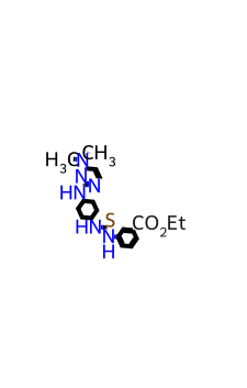 CCOC(=O)c1cccc(NC(=S)N[C@H]2CC[C@@H](Nc3nccc(N(C)C)n3)CC2)c1